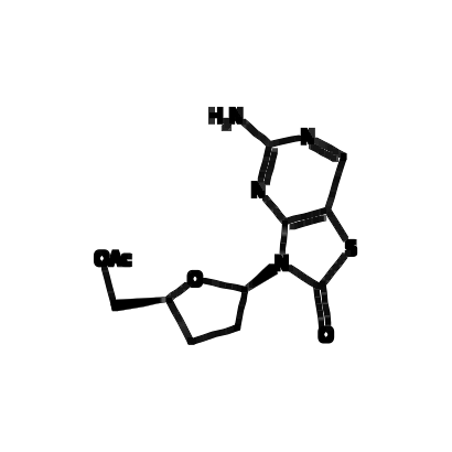 CC(=O)OC[C@@H]1CC[C@H](n2c(=O)sc3cnc(N)nc32)O1